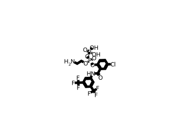 NCCOP(=O)(Oc1ccc(Cl)cc1C(=O)Nc1cc(C(F)(F)F)cc(C(F)(F)F)c1)OP(=O)(O)O